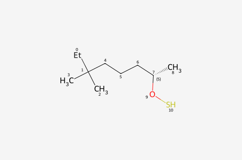 CCC(C)(C)CCC[C@H](C)OS